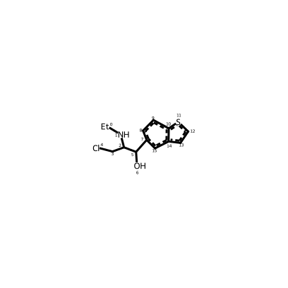 CCNC(CCl)C(O)c1ccc2sccc2c1